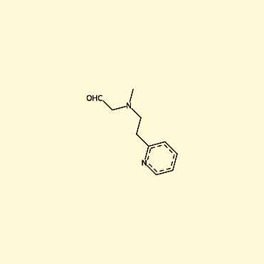 CN(CC=O)CCc1ccccn1